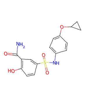 NC(=O)c1cc(S(=O)(=O)Nc2ccc(OC3CC3)cc2)ccc1O